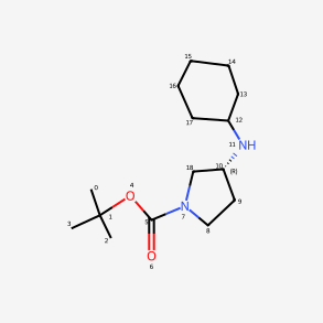 CC(C)(C)OC(=O)N1CC[C@@H](NC2CCCCC2)C1